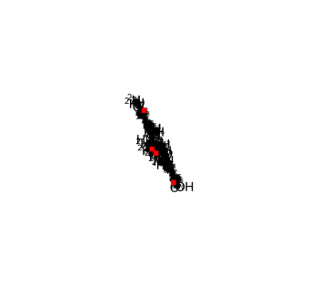 [2H]c1c([2H])c(NC(=O)c2nc3c(n2C([2H])([2H])[2H])CCN(CCC24CCC(COC([2H])([2H])[2H])(CC2)C4)C3)c(Cl)c(-c2c([2H])c([2H])c([2H])c(NC(=O)c3nc4c(n3C([2H])([2H])[2H])CCN(CCC35CCC(C(=O)O)(CC3)C5)C4)c2C([2H])([2H])[2H])c1[2H]